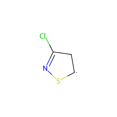 ClC1=NS[CH]C1